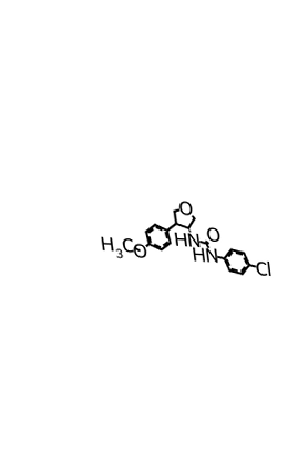 COc1ccc(C2COC[C@@H]2NC(=O)Nc2ccc(Cl)cc2)cc1